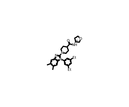 CCc1cc(CC)cc(-n2c(N3CCC(C(=O)N[C@@H]4CCOC4)CC3)nc3cc(C)c(C)cc32)c1